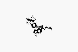 CCOC(=O)c1cnc2[nH]ccc2c1N[C@@H]1CCCN(C(=O)C(C)(C)C#N)C1